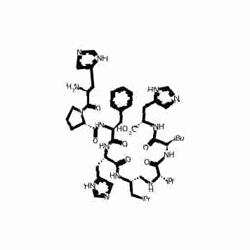 CC[C@H](C)[C@H](NC(=O)[C@@H](NC[C@H](CC(C)C)NC(=O)[C@H](Cc1cnc[nH]1)NC(=O)[C@H](Cc1ccccc1)NC(=O)[C@@H]1CCCN1C(=O)[C@@H](N)Cc1cnc[nH]1)C(C)C)C(=O)N[C@@H](Cc1cnc[nH]1)C(=O)O